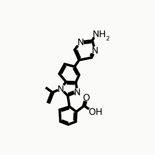 C=C(C)n1c(-c2ccccc2C(=O)O)nc2cc(-c3cnc(N)nc3)ccc21